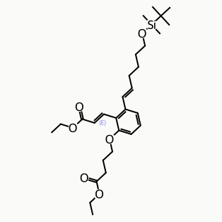 CCOC(=O)/C=C/c1c(C=CCCCCO[Si](C)(C)C(C)(C)C)cccc1OCCCC(=O)OCC